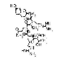 CN[C@H](C(=O)N[C@@H](CCCNC(=N)N)C(=O)N[C@@H](CCC(N)=O)C(=O)N(C)[C@@H](CCCNC(=N)N)C(=O)NC(Cc1ccc(O)cc1)C(N)=O)[C@@H](C)O